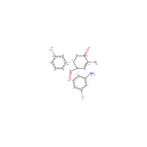 Nc1cc(Cl)ccc1[C@@]1(C=O)C=C(Br)C(=O)C[C@H]1c1cccc(Cl)c1